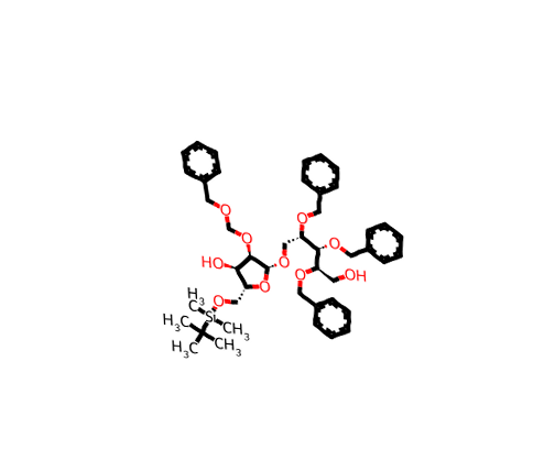 CC(C)(C)[Si](C)(C)OC[C@H]1O[C@@H](OC[C@H](OCc2ccccc2)[C@H](OCc2ccccc2)[C@@H](CO)OCc2ccccc2)[C@H](OCOCc2ccccc2)[C@@H]1O